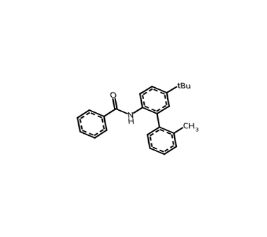 Cc1ccccc1-c1cc(C(C)(C)C)ccc1NC(=O)c1ccccc1